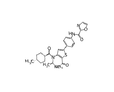 CC(C)N(c1cc(-c2ccc(NC(=O)c3ncco3)cc2)sc1C(=O)O)C(=O)[C@H]1CC[C@H](C)CC1